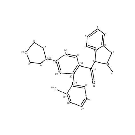 CC1Cc2ccccc2C1C(=O)c1cnc(N2CCOCC2)nc1-c1ccccc1F